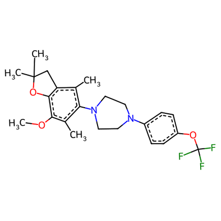 COc1c(C)c(N2CCN(c3ccc(OC(F)(F)F)cc3)CC2)c(C)c2c1OC(C)(C)C2